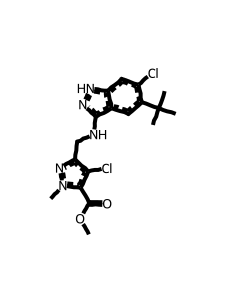 COC(=O)c1c(Cl)c(CNc2n[nH]c3cc(Cl)c(C(C)(C)C)cc23)nn1C